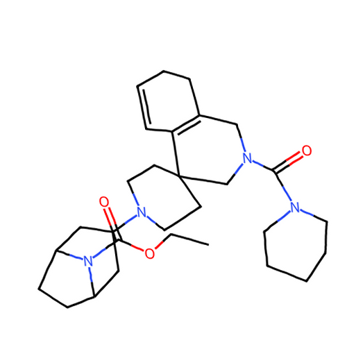 CCOC(=O)N1C2CCC1CC(N1CCC3(CC1)CN(C(=O)N1CCCCC1)CC1=C3C=CCC1)C2